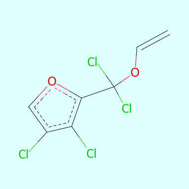 C=COC(Cl)(Cl)c1occ(Cl)c1Cl